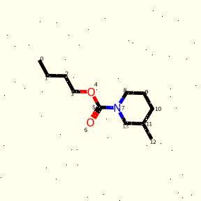 CCCCOC(=O)N1CCCC(C)C1